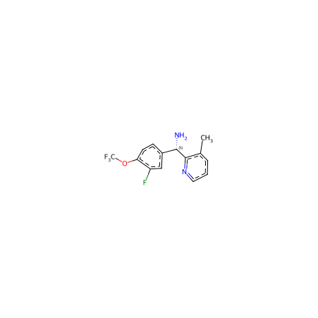 Cc1cccnc1[C@@H](N)c1ccc(OC(F)(F)F)c(F)c1